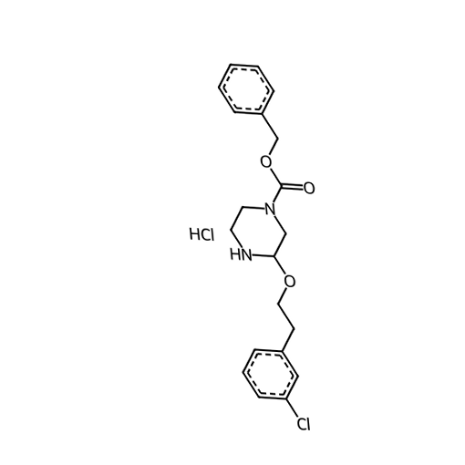 Cl.O=C(OCc1ccccc1)N1CCNC(OCCc2cccc(Cl)c2)C1